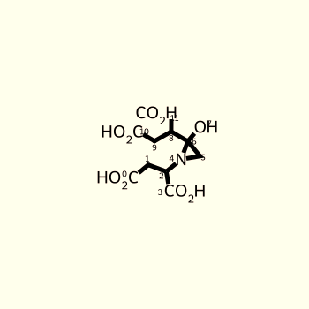 O=C(O)CC(C(=O)O)N1CC1(O)C(CC(=O)O)C(=O)O